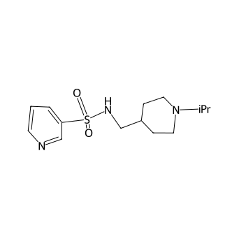 CC(C)N1CCC(CNS(=O)(=O)c2cccnc2)CC1